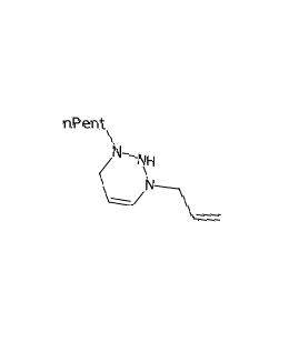 C=CCN1C=CCN(CCCCC)N1